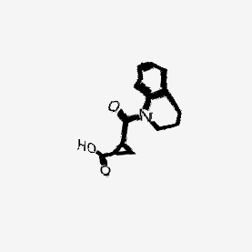 O=C(O)C1CC1C(=O)N1CCCc2ccccc21